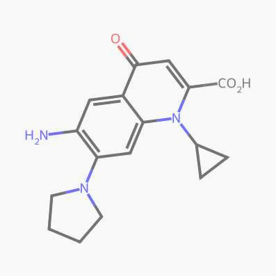 Nc1cc2c(=O)cc(C(=O)O)n(C3CC3)c2cc1N1CCCC1